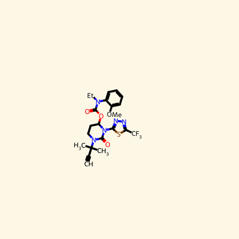 C#CC(C)(C)N1CCC(OC(=O)N(CC)c2ccccc2OC)N(c2nnc(C(F)(F)F)s2)C1=O